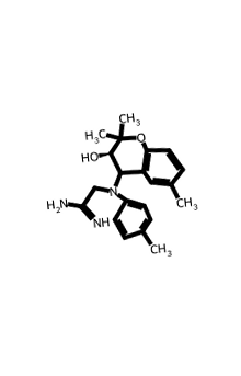 Cc1ccc(N(CC(=N)N)C2c3cc(C)ccc3OC(C)(C)[C@@H]2O)cc1